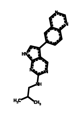 CC(C)CNc1ncc2c(-c3ccc4ncncc4c3)c[nH]c2n1